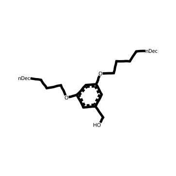 CCCCCCCCCCCCCCOc1cc(CO)cc(OCCCCCCCCCCCCC)c1